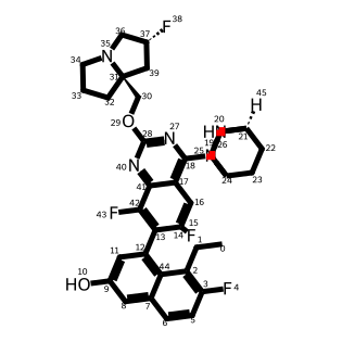 CCc1c(F)ccc2cc(O)cc(-c3c(F)cc4c(N5C[C@@H]6CCC5CN6)nc(OC[C@@]56CCCN5C[C@H](F)C6)nc4c3F)c12